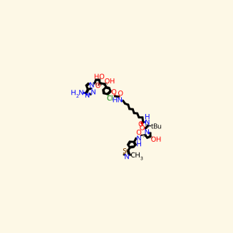 Cc1ncsc1-c1ccc(CNC(=O)[C@@H]2C[C@@H](O)CN2C(=O)[C@@H](NC(=O)CCCCCCCCCNC(=O)COc2cc([C@@H](O)[C@H]3O[C@@H](n4ccc5c(N)ncnc54)C[C@@H]3O)ccc2Cl)C(C)(C)C)cc1